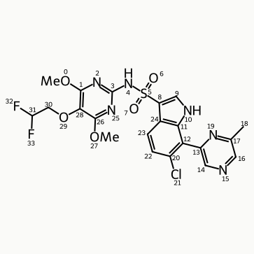 COc1nc(NS(=O)(=O)c2c[nH]c3c(-c4cncc(C)n4)c(Cl)ccc23)nc(OC)c1OCC(F)F